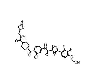 Cn1c(-c2ccc(OCC#N)c(F)c2F)cnc1C(=O)Nc1ccc(C(=O)N2CCC(C(=O)NCC3CNC3)CC2)c(Cl)c1